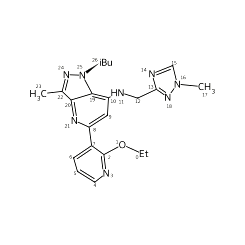 CCOc1ncccc1-c1cc(NCc2ncn(C)n2)c2c(n1)c(C)nn2[C@H](C)CC